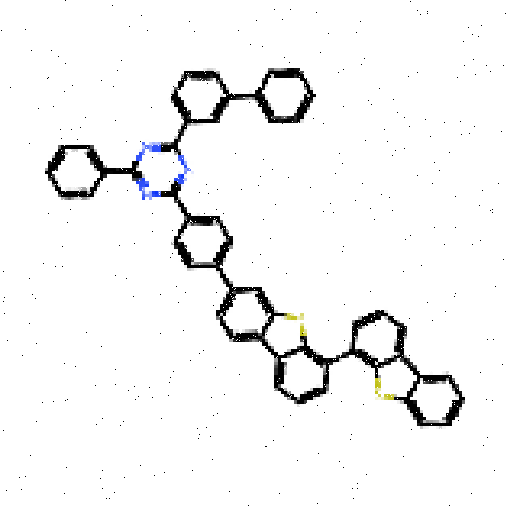 c1ccc(-c2cccc(-c3nc(-c4ccccc4)nc(-c4ccc(-c5ccc6c(c5)sc5c(-c7cccc8c7sc7ccccc78)cccc56)cc4)n3)c2)cc1